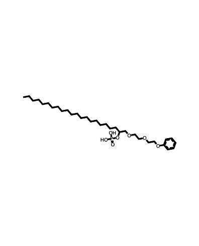 CCCCCCCCCCCCCCCCCCCCC(COCCOCCOc1ccccc1)OP(=O)(O)O